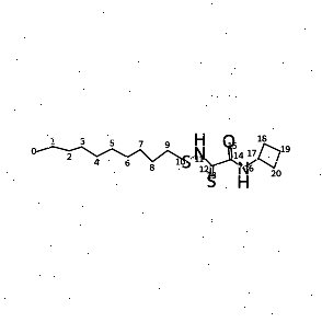 CCCCCCCCCCSNC(=S)C(=O)NC1CCC1